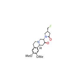 COc1cc2c(cc1OC)[C@@H]1CC(=O)C(N3C[C@@H](CF)CC3=O)CN1CC2